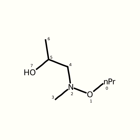 CCCON(C)CC(C)O